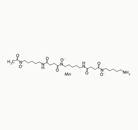 CC(=O)N([O-])CCCCCNC(=O)CCC(=O)N([O-])CCCCCNC(=O)CCC(=O)N([O-])CCCCCN.[Mn]